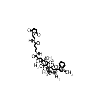 CN[C@H](C(=O)NC(C(=O)N(C)C/C=C(\C)C(=O)NCCCC(=O)NCCN1C(=O)C=CC1=O)C(C)(C)C)C(C)(C)c1cn(C)c2ccccc12